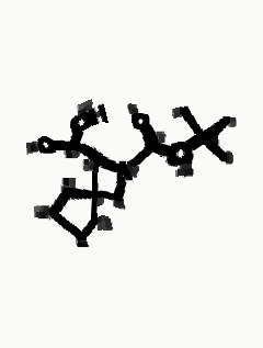 CC(C)(C)OC(=O)N1CC2(CCCC2)C1C(=O)O